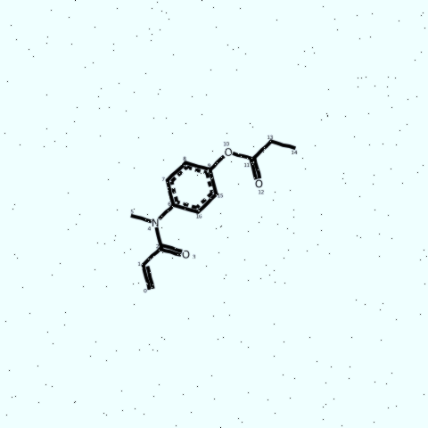 C=CC(=O)N(C)c1ccc(OC(=O)CC)cc1